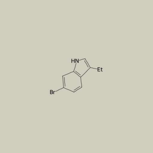 CCc1c[nH]c2cc(Br)ccc12